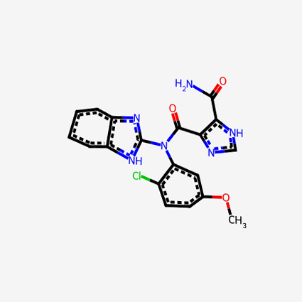 COc1ccc(Cl)c(N(C(=O)c2nc[nH]c2C(N)=O)c2nc3ccccc3[nH]2)c1